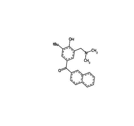 CN(C)Cc1cc(C(=O)c2ccc3ccccc3c2)cc(C(C)(C)C)c1O